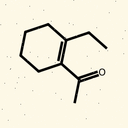 CCC1=C(C(C)=O)CCCC1